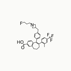 Cc1cc(C(F)(F)F)ccc1C1=C(c2ccc(CC3CN(CCCF)C3)cc2)c2ccc(C(=O)O)cc2CCC1